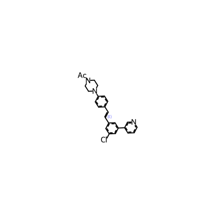 CC(=O)N1CCN(c2ccc(/C=C/c3cc(Cl)cc(-c4cccnc4)c3)cc2)CC1